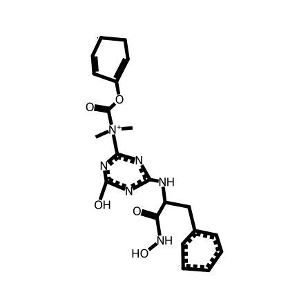 C[N+](C)(C(=O)OC1=CC[CH]C=C1)c1nc(O)nc(NC(Cc2ccccc2)C(=O)NO)n1